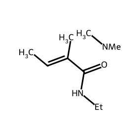 CC=C(C)C(=O)NCC.CNC